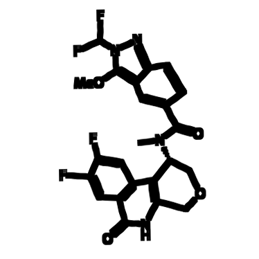 COc1c2cc(C(=O)N(C)[C@@H]3COCc4[nH]c(=O)c5cc(F)c(F)cc5c43)ccc2nn1C(F)F